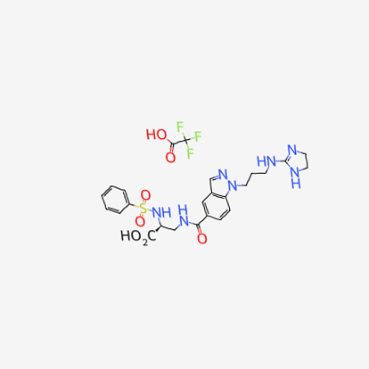 O=C(NC[C@H](NS(=O)(=O)c1ccccc1)C(=O)O)c1ccc2c(cnn2CCCNC2=NCCN2)c1.O=C(O)C(F)(F)F